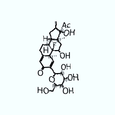 CC(=O)[C@@]1(O)C(C)C[C@H]2[C@@H]3CCC4=CC(=O)C(C5O[C@H](CO)[C@H](O)[C@H](O)[C@H]5O)=C[C@]4(C)C3(F)C(O)C[C@@]21C